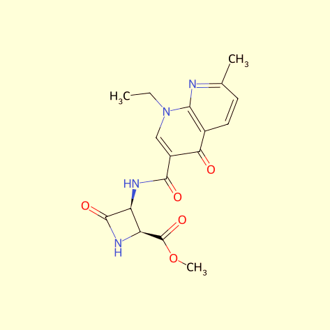 CCn1cc(C(=O)N[C@@H]2C(=O)N[C@@H]2C(=O)OC)c(=O)c2ccc(C)nc21